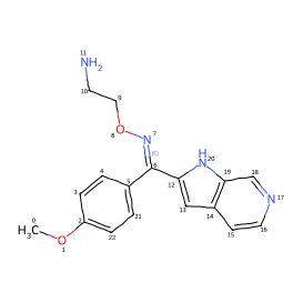 COc1ccc(/C(=N\OCCN)c2cc3ccncc3[nH]2)cc1